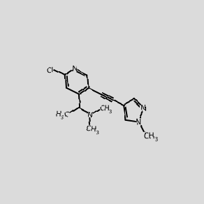 CC(c1cc(Cl)ncc1C#Cc1cnn(C)c1)N(C)C